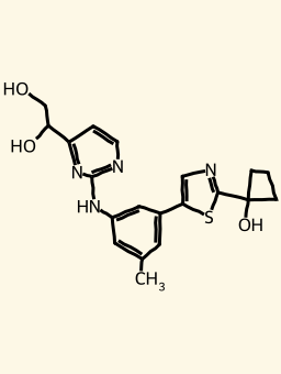 Cc1cc(Nc2nccc(C(O)CO)n2)cc(-c2cnc(C3(O)CCC3)s2)c1